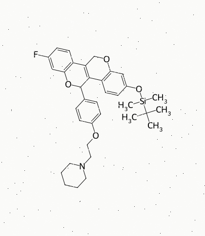 CC(C)(C)[Si](C)(C)Oc1ccc2c(c1)OCC1=C2C(c2ccc(OCCN3CCCCC3)cc2)Oc2cc(F)ccc21